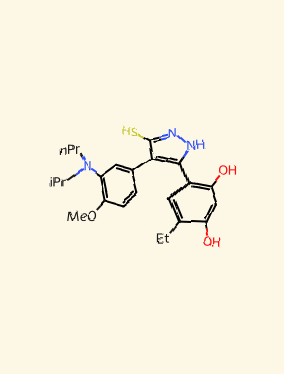 CCCN(c1cc(-c2c(S)n[nH]c2-c2cc(CC)c(O)cc2O)ccc1OC)C(C)C